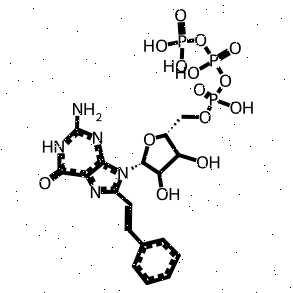 Nc1nc2c(nc(C=Cc3ccccc3)n2[C@@H]2O[C@H](COP(=O)(O)OP(=O)(O)OP(=O)(O)O)C(O)C2O)c(=O)[nH]1